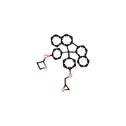 c1ccc2c3c(ccc2c1)-c1ccc2ccccc2c1C3(c1ccc(OCC2CS2)cc1)c1ccc(OC2CCS2)cc1